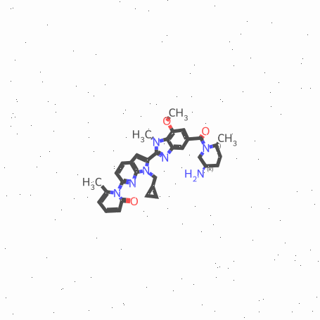 COc1cc(C(=O)N2C[C@H](N)CC[C@@H]2C)cc2nc(-c3cc4ccc(-n5c(C)cccc5=O)nc4n3CC3CC3)n(C)c12